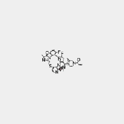 C=CC(=O)N1CCN(c2nc(=O)n3c4nc(c(F)cc24)-c2c(F)cccc2N(C(=O)C(C)N)CCSc2ccnc(C(C)C)c2-3)[C@@H](C)C1